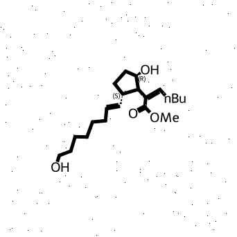 CCCCC=C(C(=O)OC)C1[C@H](O)CC[C@H]1C=CCCCCCCO